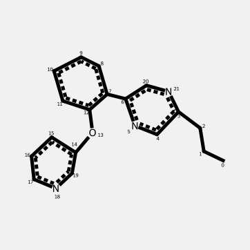 CCCc1cnc(-c2ccccc2Oc2cccnc2)cn1